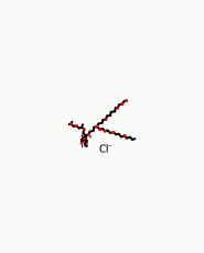 CCCCCCCCCCCCCCC(CCCCCCCCCCCCCC)CCCCC(CCC(C)CCCC(C)C)[n+]1ccn(C)c1.[Cl-]